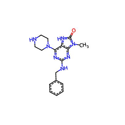 Cn1c(=O)[nH]c2c(N3CCNCC3)nc(NCc3ccccc3)nc21